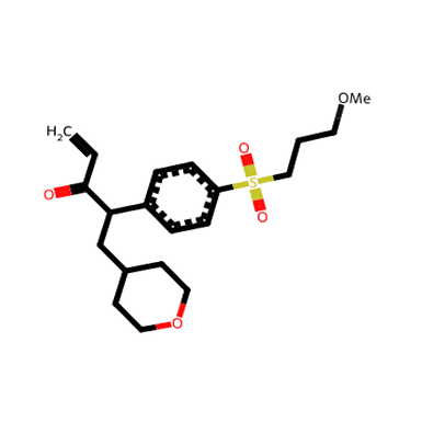 C=CC(=O)C(CC1CCOCC1)c1ccc(S(=O)(=O)CCCOC)cc1